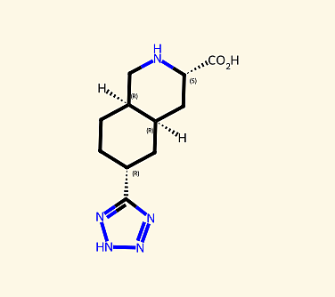 O=C(O)[C@@H]1C[C@H]2C[C@H](c3nn[nH]n3)CC[C@H]2CN1